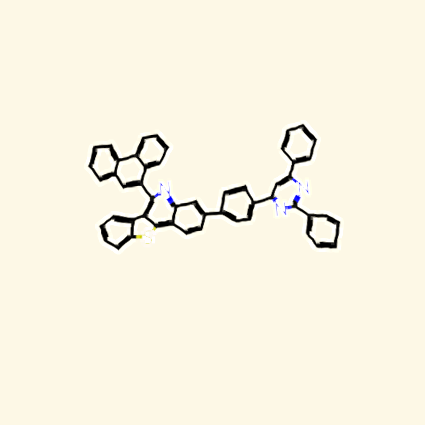 c1ccc(-c2cc(-c3ccc(-c4ccc5c(c4)nc(-c4cc6ccccc6c6ccccc46)c4c6ccccc6sc54)cc3)nc(-c3ccccc3)n2)cc1